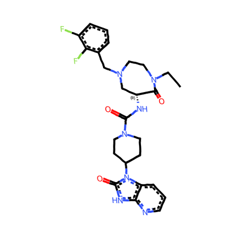 CCN1CCN(Cc2cccc(F)c2F)C[C@@H](NC(=O)N2CCC(n3c(=O)[nH]c4ncccc43)CC2)C1=O